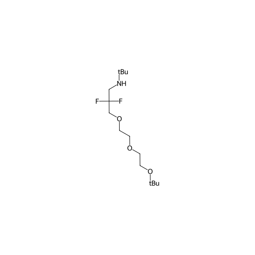 CC(C)(C)NCC(F)(F)COCCOCCOC(C)(C)C